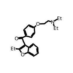 CCc1oc2ccccc2c1C(=O)c1ccc(OCCN(CC)CC)cc1